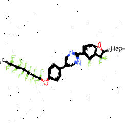 CCCCCCCC1Oc2ccc(-c3ncc(-c4ccc(OC(F)(F)C(F)(F)C(F)(F)C(F)(F)C(F)(F)C(F)(F)C(F)(F)F)cc4)cn3)c(F)c2C1(F)F